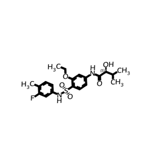 CCOc1cc(NC(=O)[C@@H](O)C(C)C)ccc1S(=O)(=O)Nc1ccc(C)c(F)c1